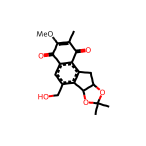 COC1=C(C)C(=O)c2c(cc(CO)c3c2CC2OC(C)(C)OC32)C1=O